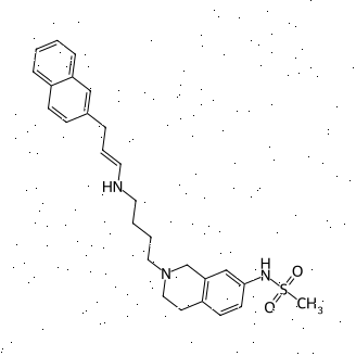 CS(=O)(=O)Nc1ccc2c(c1)CN(CCCCNC=CCc1ccc3ccccc3c1)CC2